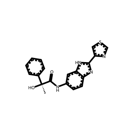 C[C@@](O)(C(=O)Nc1ccc2nc(-c3cscn3)[nH]c2c1)c1ccccc1